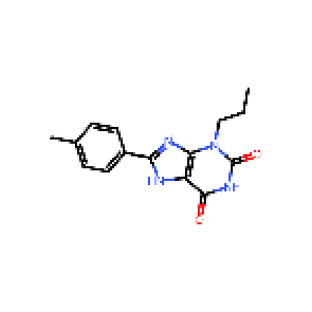 CCCn1c(=O)[nH]c(=O)c2[nH]c(-c3ccc(C)cc3)nc21